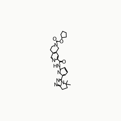 CC1(C)CCc2nnc(-c3cccc(NC(=O)c4cc5c(cn4)CCN(C(=O)OC4CCCC4)C5)n3)n21